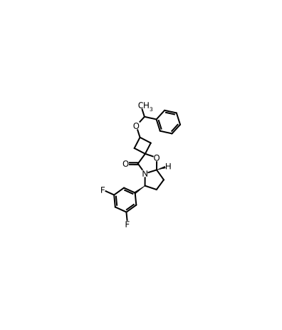 CC(OC1CC2(C1)O[C@@H]1CC[C@@H](c3cc(F)cc(F)c3)N1C2=O)c1ccccc1